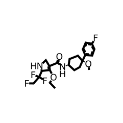 CCOC1=C(C(=O)N[C@H]2CC[C@](OC)(c3ccc(F)cc3)CC2)CNC1C(F)(F)CF